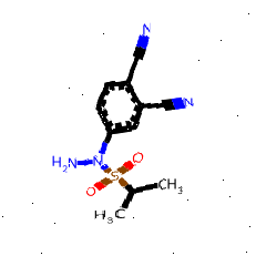 CC(C)S(=O)(=O)N(N)c1ccc(C#N)c(C#N)c1